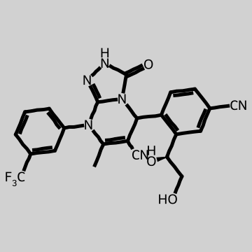 CC1=C(C#N)C(c2ccc(C#N)cc2[C@H](O)CO)n2c(n[nH]c2=O)N1c1cccc(C(F)(F)F)c1